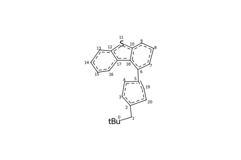 CC(C)(C)Cc1ccc(-c2cccc3sc4ccccc4c23)cc1